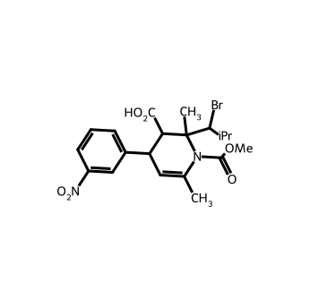 COC(=O)N1C(C)=CC(c2cccc([N+](=O)[O-])c2)C(C(=O)O)C1(C)C(Br)C(C)C